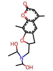 Cc1cc(=O)oc2c(C)c3c(cc12)CC(CN(C(C)O)C(C)O)O3